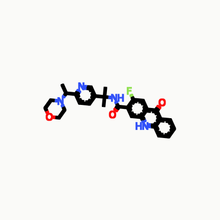 CC(c1ccc(C(C)(C)NC(=O)c2cc3[nH]c4ccccc4c(=O)c3cc2F)cn1)N1CCOCC1